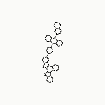 C1=Cc2ccc(-c3c4ccccc4c(-c4ccc(-c5ccc6sc7c8sc9ccccc9c8c8ccccc8c7c6c5)cc4)c4ccccc34)cc2CC1